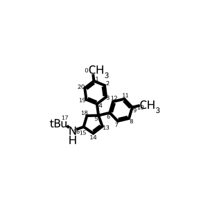 Cc1ccc(C2(c3ccc(C)cc3)C=CC(NC(C)(C)C)C2)cc1